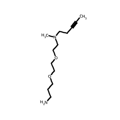 CC#CCCN(C)CCOCCOCCCN